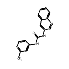 O=C(Nc1ccnc(C(F)(F)F)c1)Nc1cnc2ccccc2c1